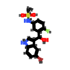 CCCS(=O)(=O)Nc1ccc(F)c(C(O)c2c[nH]c3ccc(Br)cc23)c1